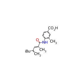 C=C(/C=C(\C)C(=O)Nc1ccc(C(=O)O)cc1C)C(C)CC